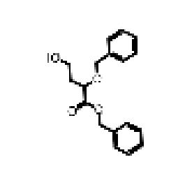 O=C(OCc1ccccc1)C(CCO)OCc1ccccc1